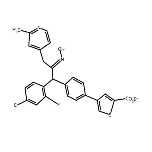 CCOC(=O)c1cc(-c2ccc(C(C(Cc3ccnc(C)c3)=NO)c3ccc(Cl)cc3F)cc2)cs1